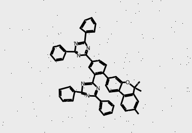 Cc1ccc2c(c1)C(C)(C)Oc1cc(-c3ccc(-c4nc(-c5ccccc5)nc(-c5ccccc5)n4)cc3-c3nc(-c4ccccc4)nc(-c4ccccc4)n3)ccc1-2